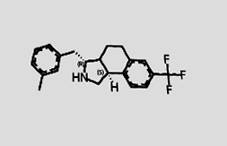 Cc1cccc(C[C@H]2NC[C@@H]3c4ccc(C(F)(F)F)cc4CCC32)c1